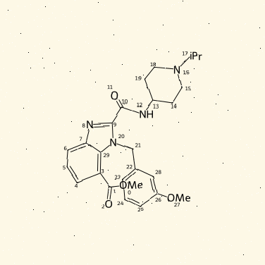 COC(=O)c1cccc2nc(C(=O)NC3CCN(C(C)C)CC3)n(Cc3cccc(OC)c3)c12